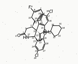 O=C1C[C@@H](C2C=CC=C(F)C2)[C@]2(C(=O)Nc3cc(Cl)ccc32)[C@@H](c2cc(Cl)ccc2OC2CCCCC2)N1